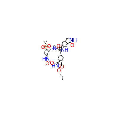 CCCCOC(=O)N[C@H]1COC(=O)Nc2ccc(S(=O)(=O)C3CC3)c(c2)CN(C)C(=O)[C@H](Nc2ccc3cc[nH]c(=O)c3c2)c2ccc1cc2